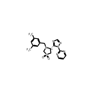 O=S1(=O)C[C@@H](c2ncnn2-c2ncccn2)N(Cc2cc(C(F)(F)F)cc(C(F)(F)F)c2)C1